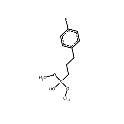 CO[Si](O)(CCCc1ccc(F)cc1)OC